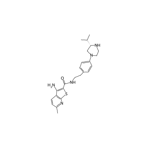 Cc1ccc2c(N)c(C(=O)NCCc3ccc(N4CCN[C@@H](C(C)C)C4)cc3)sc2n1